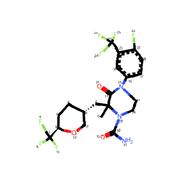 CC1(C[C@H]2CC[C@H](C(F)(F)F)OC2)C(=O)N(c2ccc(F)c(C(F)(F)F)c2)CCN1C(N)=O